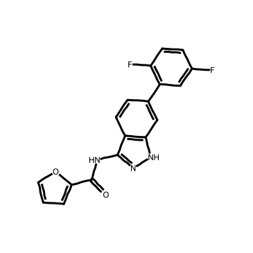 O=C(Nc1n[nH]c2cc(-c3cc(F)ccc3F)ccc12)c1ccco1